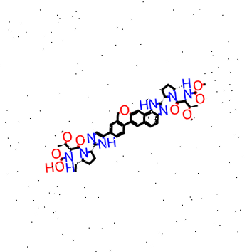 CC[C@H]1CC[C@@H](c2ncc(-c3ccc4c(c3)COc3cc5c(ccc6nc([C@@H]7CC[C@H](C)N7C(=O)[C@@H](NC(=O)OC)[C@@H](C)OC)[nH]c65)cc3-4)[nH]2)N1C(=O)[C@@H](NC(=O)O)[C@@H](C)OC